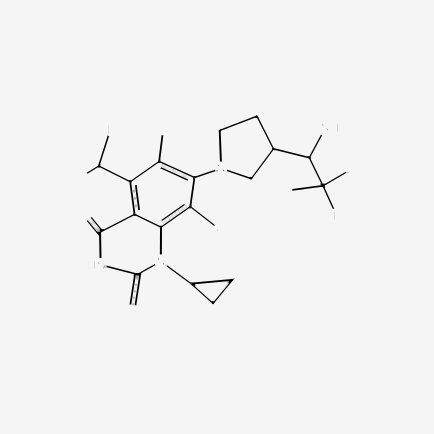 Cc1c(N2CCC(C(N)C(F)(F)F)C2)c(F)c(C(F)F)c2c(=O)[nH]c(=O)n(C3CC3)c12